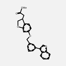 COC(=O)CC1COc2cc(OCc3cccc(-c4csc5ccccc45)c3)ccc21